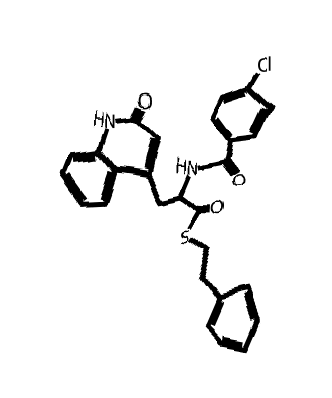 O=C(NC(Cc1cc(=O)[nH]c2ccccc12)C(=O)SCCc1ccccc1)c1ccc(Cl)cc1